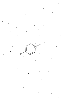 CN1C=CC(I)=CC1